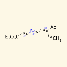 C=C\C(=C/C=N/C=C/C(=O)OCC)C(C)=O